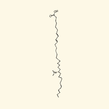 CCCCCCCCCC(CCCCCCCCCCC=CCCCCCCCC(=O)O)N(C)C